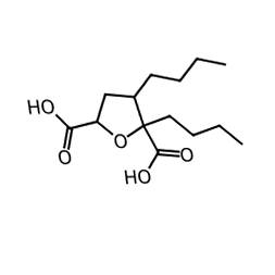 CCCCC1CC(C(=O)O)OC1(CCCC)C(=O)O